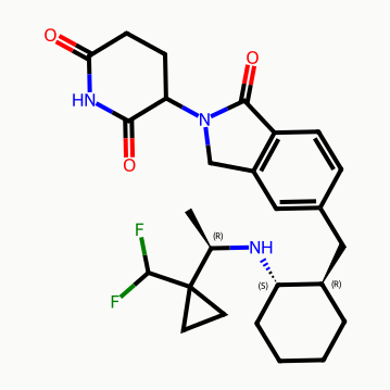 C[C@@H](N[C@H]1CCCC[C@@H]1Cc1ccc2c(c1)CN(C1CCC(=O)NC1=O)C2=O)C1(C(F)F)CC1